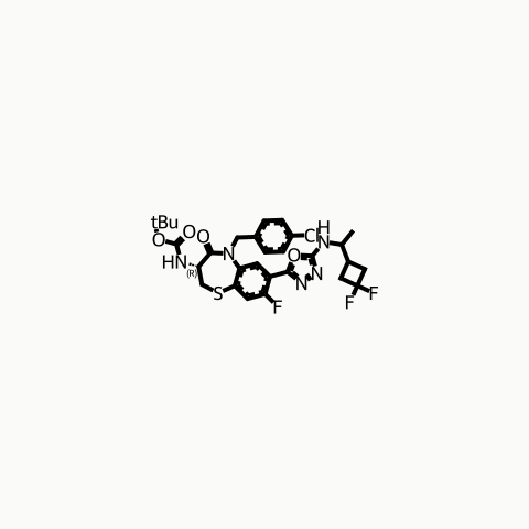 CC(Nc1nnc(-c2cc3c(cc2F)SC[C@H](NC(=O)OC(C)(C)C)C(=O)N3Cc2ccc(Cl)cc2)o1)C1CC(F)(F)C1